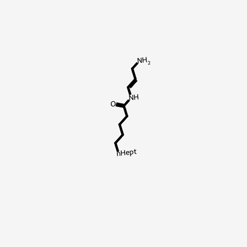 CCCCCCCCCCCC(=O)NC=CCN